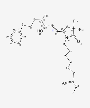 COC(=O)CCCCCCN1C(=O)C(F)(F)C[C@@H]1/C=C/[C@H](O)[C@@H](C)CCCc1ccccc1